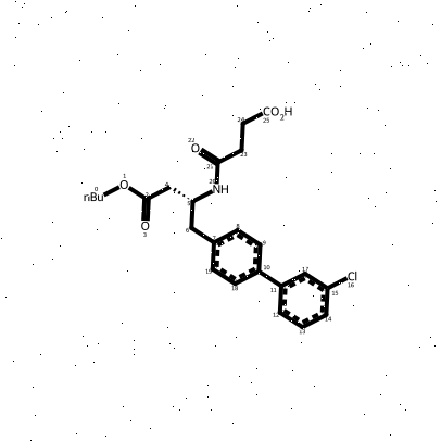 CCCCOC(=O)C[C@@H](Cc1ccc(-c2cccc(Cl)c2)cc1)NC(=O)CCC(=O)O